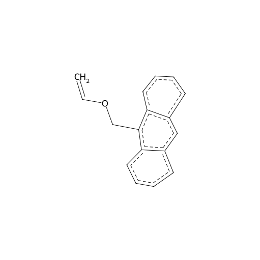 C=COCc1c2ccccc2cc2ccccc12